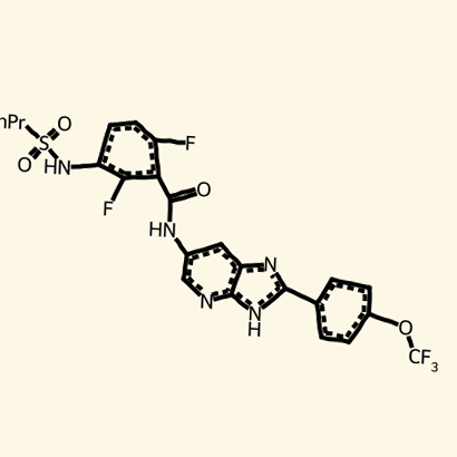 CCCS(=O)(=O)Nc1ccc(F)c(C(=O)Nc2cnc3[nH]c(-c4ccc(OC(F)(F)F)cc4)nc3c2)c1F